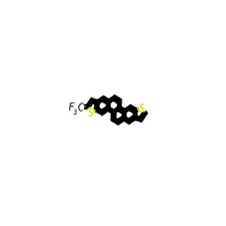 FC(F)(F)c1cc2cc3ccc4c5cc6sccc6cc5ccc4c3cc2s1